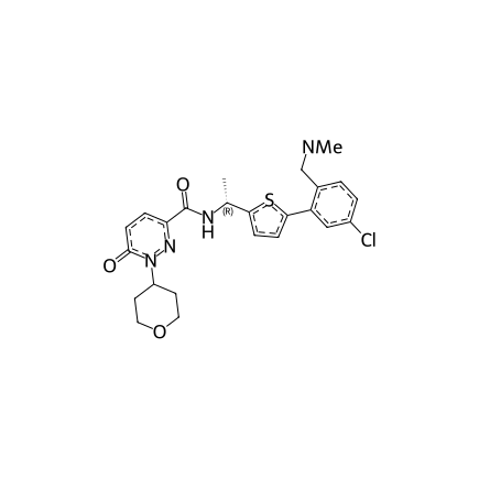 CNCc1ccc(Cl)cc1-c1ccc([C@@H](C)NC(=O)c2ccc(=O)n(C3CCOCC3)n2)s1